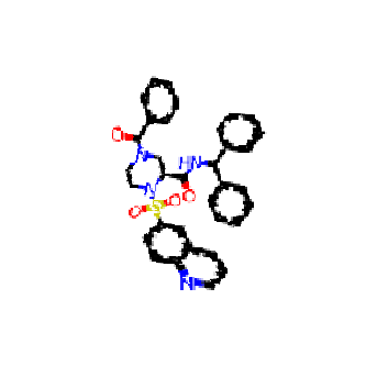 O=C(NC(c1ccccc1)c1ccccc1)C1CN(C(=O)c2ccccc2)CCN1S(=O)(=O)c1ccc2ncccc2c1